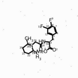 COC(=O)[C@H](Cc1ccc(F)c(F)c1)NC(=O)CN1[C@H](C)CCC[C@@H]1C